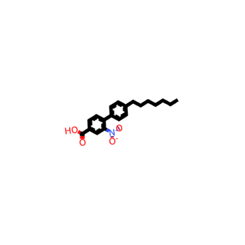 CCCCCCCc1ccc(-c2ccc(C(=O)O)cc2[N+](=O)[O-])cc1